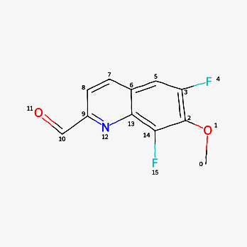 COc1c(F)cc2ccc(C=O)nc2c1F